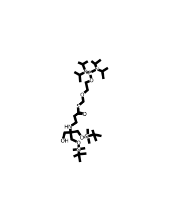 CC(C)N(C(C)C)P(OCCOCSC(=O)CCNC(CO)(CO[Si](C)(C)C(C)(C)C)CO[Si](C)(C)C(C)(C)C)N(C(C)C)C(C)C